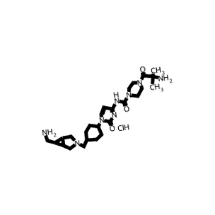 CC(C)(N)C(=O)N1CCN(C(=O)Nc2ccn(C3CCC(CN4CC5C(CN)C5C4)CC3)c(=O)n2)CC1.Cl